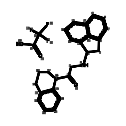 O=C(CNC1Cc2cccc3cccc1c23)N1CCCc2ccccc21.O=C(O)C(F)(F)F